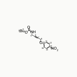 CC(C)(C)OC(=O)NCC#CCOc1ccc([N+](=O)[O-])cc1